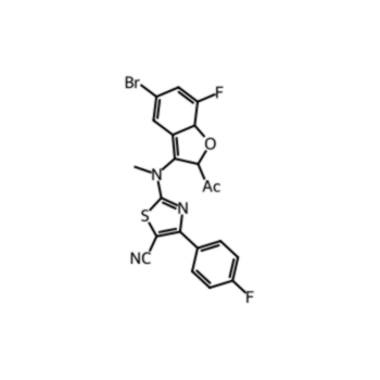 CC(=O)C1OC2C(F)=CC(Br)=CC2=C1N(C)c1nc(-c2ccc(F)cc2)c(C#N)s1